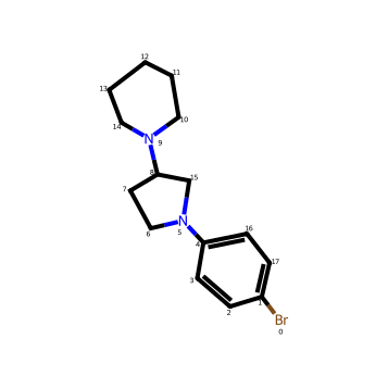 Brc1ccc(N2CCC(N3CCCCC3)C2)cc1